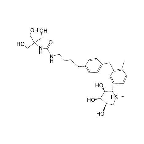 Cc1ccc([C@H]2[C@H](O)[C@H](O)[C@H](O)C[SH]2C)cc1Cc1ccc(CCCCNC(=O)NC(CO)(CO)CO)cc1